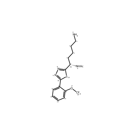 CC(=O)N[C@@H](CCCCN)c1nnc(-c2ccccc2OC(F)(F)F)s1